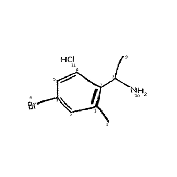 Cc1cc(Br)ccc1C(C)N.Cl